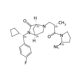 C[C@@H](CN1C[C@@H]2C[C@H]1C(=O)N2[C@H](c1ccc(F)cc1)C1CCC1)C(=O)N1CCC[C@H]1C#N